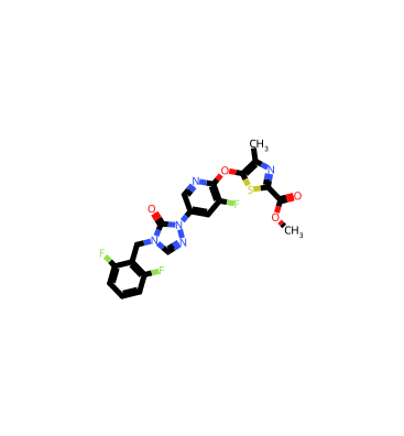 COC(=O)c1nc(C)c(Oc2ncc(-n3ncn(Cc4c(F)cccc4F)c3=O)cc2F)s1